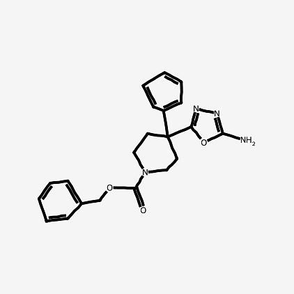 Nc1nnc(C2(c3ccccc3)CCN(C(=O)OCc3ccccc3)CC2)o1